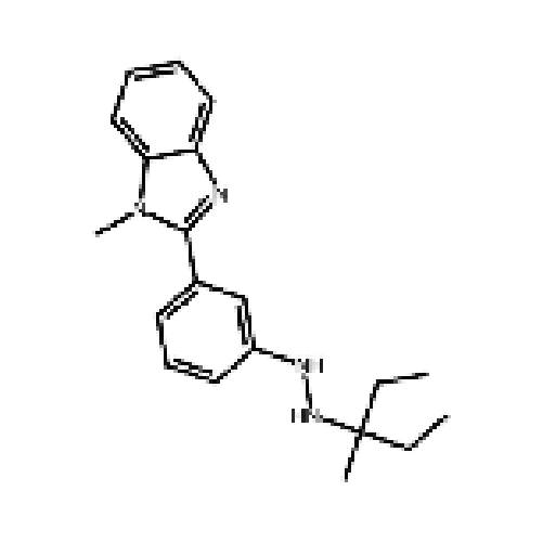 CCC(C)(CC)NNc1cccc(-c2nc3ccccc3n2C)c1